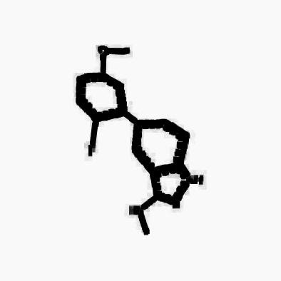 CNc1n[nH]c2ccc(-c3cc(OC)ccc3F)cc12